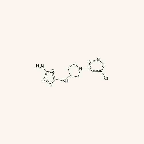 Nc1nnc(NC2CCN(c3cc(Cl)cnn3)C2)s1